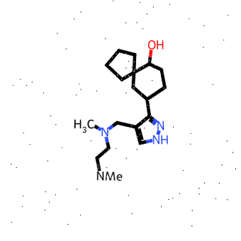 CNCCN(C)Cc1c[nH]nc1C1CCC(O)C2(CCCC2)C1